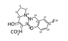 O=C(O)C1=C(O)C2CCCN2N(Cc2cccc(F)c2)C1=O